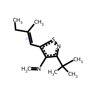 C=Nc1c(C(C)(C)C)nsc1/C=C(\C)CC